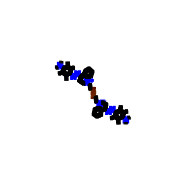 Cc1c(C)c(N(C)C)c(C)c(C)c1/N=N/c1cc[n+](CCSSCC[n+]2ccc(/N=N/c3c(C)c(C)c(N(C)C)c(C)c3C)c3ccccc32)c2ccccc12